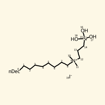 CCCCCCCCCCCCCCCCCC[N+](C)(C)CCC[Si](O)(O)O.[I-]